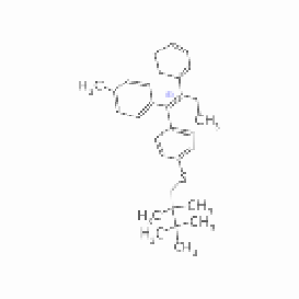 CC/C(C1=CC=CCC1)=C(/c1ccc(C)cc1)c1ccc(SCC(C)(C)C(C)(C)C)cc1